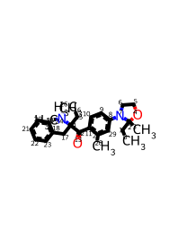 CCC1(C)OCCN1c1ccc(C(=O)C(CC)(Cc2ccccc2)N(C)C)c(C)c1